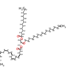 CCCCC/C=C\C/C=C\C/C=C\C/C=C\C/C=C\CCC(=O)OC[C@H](COC(=O)CCCCCCCCCCCCCC)OCCCCCCCCCCCCCCCCCC